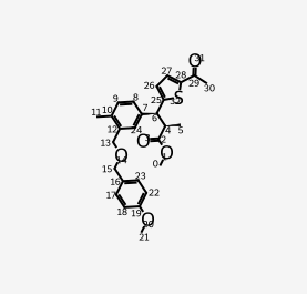 COC(=O)[C@H](C)[C@@H](c1ccc(C)c(COCc2ccc(OC)cc2)c1)c1ccc(C(C)=O)s1